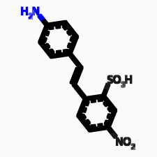 Nc1ccc(C=Cc2ccc([N+](=O)[O-])cc2S(=O)(=O)O)cc1